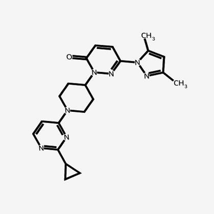 Cc1cc(C)n(-c2ccc(=O)n(C3CCN(c4ccnc(C5CC5)n4)CC3)n2)n1